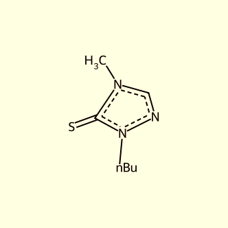 CCCCn1ncn(C)c1=S